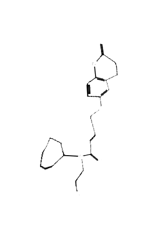 O=C1CCc2cc(OCCCC(=O)N(CCO)C3CCCCC3)ccc2N1